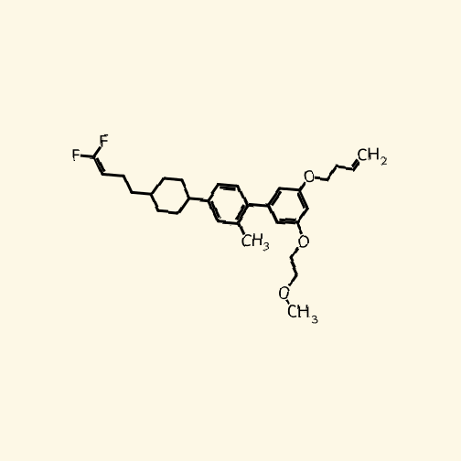 C=CCCOc1cc(OCCOC)cc(-c2ccc(C3CCC(CCC=C(F)F)CC3)cc2C)c1